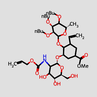 C=CCOC(=O)NC1C(O)[C@@H](O)[C@H](CO)O[C@H]1O[C@@H]1CC(C(=O)OC)CC(C=C)C1OC1O[C@@H](C)C(OCCCC)[C@H](OCCCC)[C@@H]1OCCCC